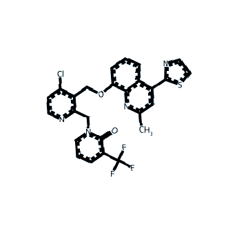 Cc1cc(-c2nccs2)c2cccc(OCc3c(Cl)ccnc3Cn3cccc(C(F)(F)F)c3=O)c2n1